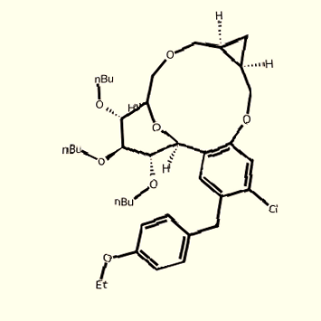 CCCCO[C@@H]1[C@@H](OCCCC)[C@H]2O[C@H](COC[C@H]3C[C@H]3COc3cc(Cl)c(Cc4ccc(OCC)cc4)cc32)[C@H]1OCCCC